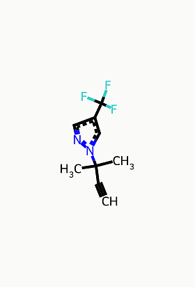 C#CC(C)(C)n1cc(C(F)(F)F)cn1